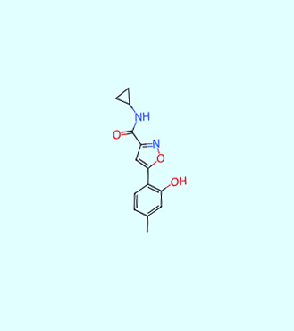 Cc1ccc(-c2cc(C(=O)NC3CC3)no2)c(O)c1